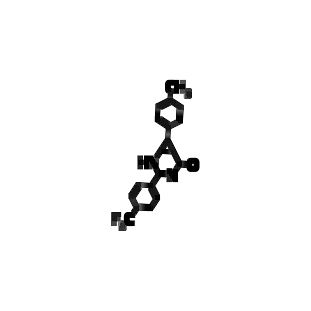 Cc1ccc(C2C3NC(c4ccc(C(F)(F)F)cc4)=NC(=O)C32)cc1